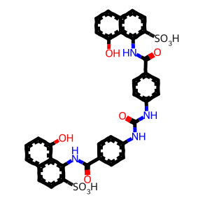 O=C(Nc1ccc(C(=O)Nc2c(S(=O)(=O)O)ccc3cccc(O)c23)cc1)Nc1ccc(C(=O)Nc2c(S(=O)(=O)O)ccc3cccc(O)c23)cc1